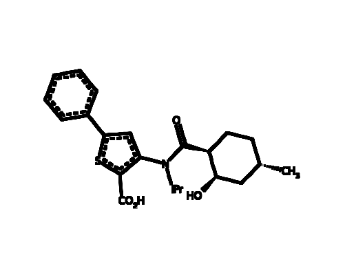 CC(C)N(C(=O)[C@H]1CC[C@H](C)C[C@H]1O)c1cc(-c2ccccc2)sc1C(=O)O